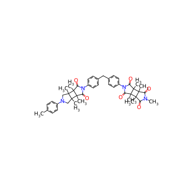 Cc1ccc(N2CC3(C)C(C)(C2)C2(C)C(=O)N(c4ccc(Cc5ccc(N6C(=O)C7(C)C8(C)C(=O)N(C)C(=O)C8(C)C7(C)C6=O)cc5)cc4)C(=O)C32C)cc1